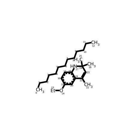 CCCCCCCCCCCCC.CCOc1ccc2c(c1)C(C)=CC(C)(C)N2